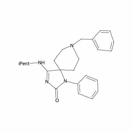 CCCC(C)NC1=NC(=O)N(c2ccccc2)C12CCN(Cc1ccccc1)CC2